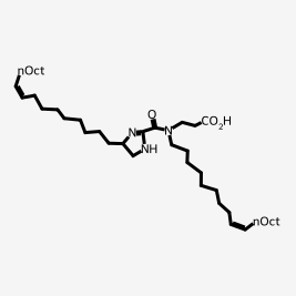 CCCCCCCC/C=C\CCCCCCCCC1CNC(C(=O)N(CCCCCCCC/C=C\CCCCCCCC)CCC(=O)O)=N1